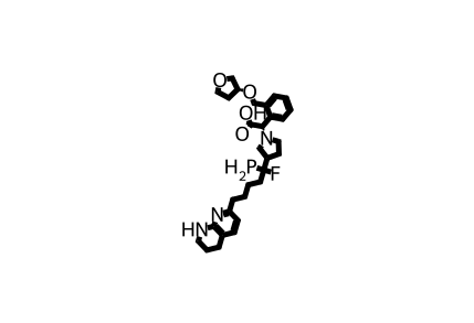 O=C(O)[C@H](c1ccccc1CO[C@H]1CCOC1)N1CCC(C(F)(P)CCCCc2ccc3c(n2)NCCC3)C1